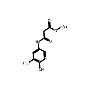 CCCCOC(=O)CC(=O)Nc1cnc(C#N)c(C(F)(F)F)c1